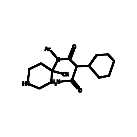 CC(=O)N(C(=O)C(C(N)=O)C1CCCCC1)C1(C#N)CCNCC1